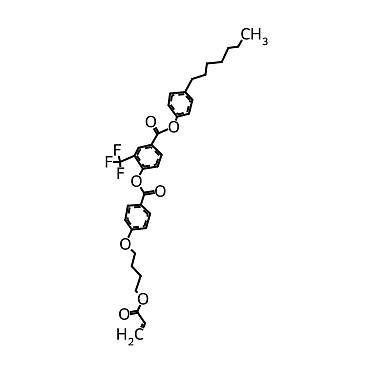 C=CC(=O)OCCCCOc1ccc(C(=O)Oc2ccc(C(=O)Oc3ccc(CCCCCCC)cc3)cc2C(F)(F)F)cc1